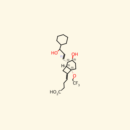 O=C(O)CCC=C1C[C@H]2[C@H](/C=C/C(O)C3CCCCC3)[C@@H](O)CC[C@@]12OCC(F)(F)F